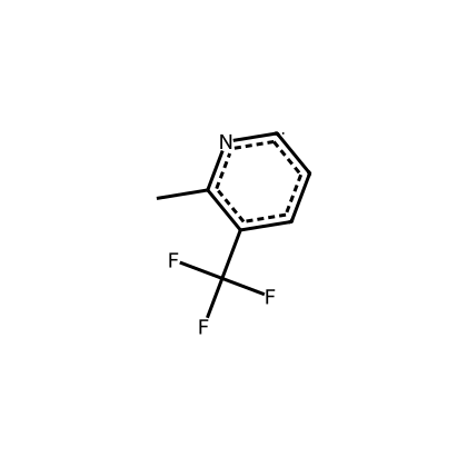 Cc1n[c]ccc1C(F)(F)F